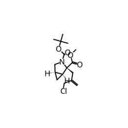 C=C(CCl)C[C@@]1(C(=O)OC)[C@H]2C[C@H]2CN1C(=O)OC(C)(C)C